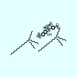 CCCCCCCCCCCCCC[P+](CCCCCC)(CCCCCC)CCCCCC.CCCCCCCCCCCCCC[P+](CCCCCC)(CCCCCC)CCCCCC.O=[N+]([O-])c1ccc(/N=N/c2c(S(=O)(=O)[O-])cc3cc(S(=O)(=O)[O-])ccc3c2O)c([N+](=O)[O-])c1